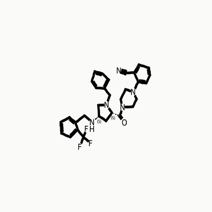 N#Cc1ccccc1N1CCN(C(=O)[C@@H]2C[C@H](NCc3ccccc3C(F)(F)F)CN2Cc2ccccc2)CC1